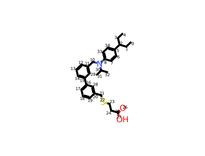 CCC(CC)c1ccc(N(Cc2cccc(-c3cccc(CSCCC(=O)O)c3)c2)C(C)C)cc1